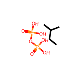 CCC(C)C.O=P(O)(O)OP(=O)(O)O